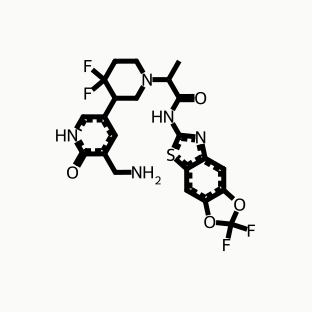 CC(C(=O)Nc1nc2cc3c(cc2s1)OC(F)(F)O3)N1CCC(F)(F)C(c2c[nH]c(=O)c(CN)c2)C1